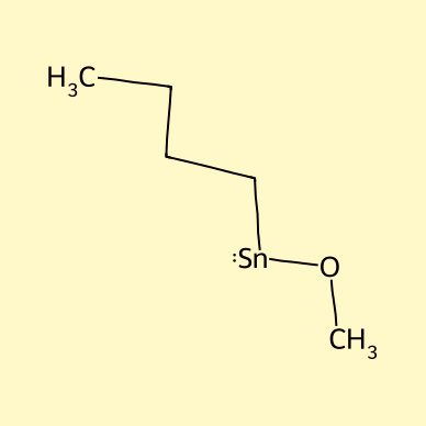 CCC[CH2][Sn][O]C